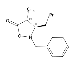 CC(C)C[C@@H]1[C@@H](C)C(=O)ON1Cc1ccccc1